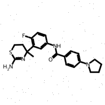 CC1(c2cc(NC(=O)c3ccc(N4CCCC4)cc3)ccc2F)CCSC(N)=N1